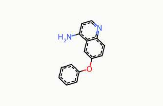 Nc1ccnc2ccc(Oc3ccccc3)cc12